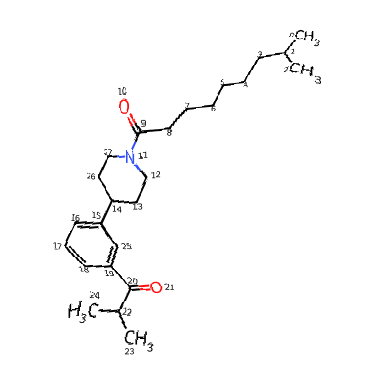 CC(C)CCCCCCC(=O)N1CCC(c2cccc(C(=O)C(C)C)c2)CC1